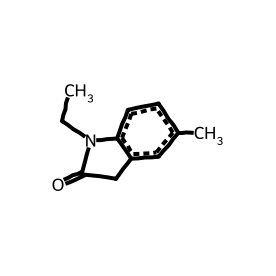 CCN1C(=O)Cc2cc(C)ccc21